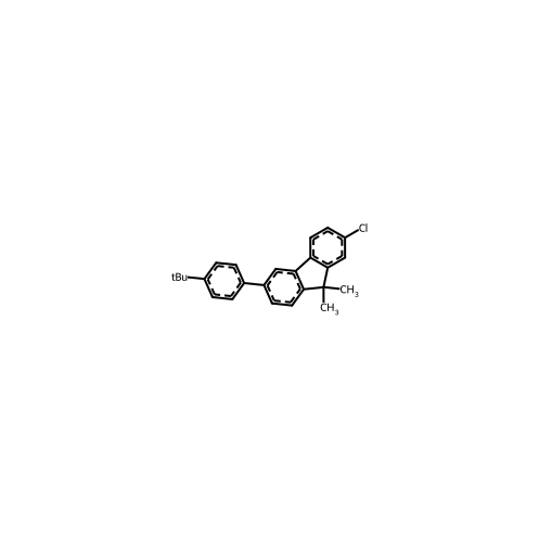 CC(C)(C)c1ccc(-c2ccc3c(c2)-c2ccc(Cl)cc2C3(C)C)cc1